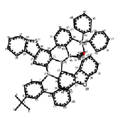 CC(C)(C)c1ccc(N2c3cc4c(sc5ccccc54)c4c3B(c3c2ccc2oc5ccccc5c32)N2c3ccccc3[Si](c3ccccc3)(c3ccccc3)c3cccc-4c32)c(-c2ccccc2)c1